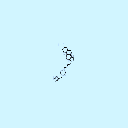 C[C@H](CCC(=O)N1CCN(C(=O)c2cn(C)nn2)[C@@H](C)C1)[C@H]1CC[C@H]2[C@@H]3CC=C4C[C@@H](O)CC[C@]4(C)[C@H]3CC[C@]12C